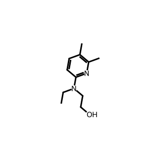 CCN(CCO)c1ccc(C)c(C)n1